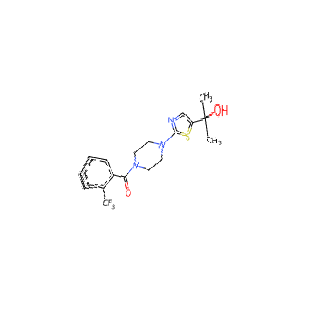 CC(C)(O)c1cnc(N2CCN(C(=O)c3ccccc3C(F)(F)F)CC2)s1